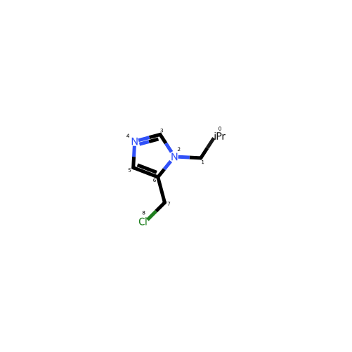 CC(C)Cn1cncc1CCl